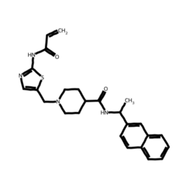 C=CC(=O)Nc1ncc(CN2CCC(C(=O)NC(C)c3ccc4ccccc4c3)CC2)s1